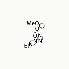 CCN1CCN(c2nccnc2OC(C)COc2ccccc2OC)CC1